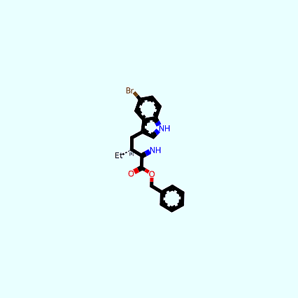 CC[C@H](Cc1c[nH]c2ccc(Br)cc12)C(=N)C(=O)OCc1ccccc1